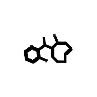 CC(C1=C/CC/C=C/C=C\1F)c1ncccc1F